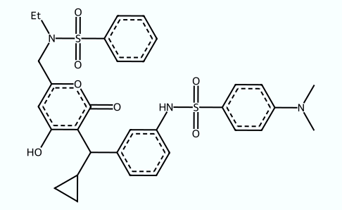 CCN(Cc1cc(O)c(C(c2cccc(NS(=O)(=O)c3ccc(N(C)C)cc3)c2)C2CC2)c(=O)o1)S(=O)(=O)c1ccccc1